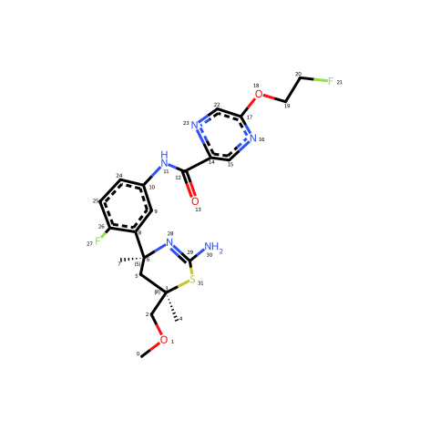 COC[C@@]1(C)C[C@@](C)(c2cc(NC(=O)c3cnc(OCCF)cn3)ccc2F)N=C(N)S1